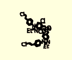 CCc1nc2cc(CS(=O)(=O)Cc3cc4nc(CC)n(-c5ccc(CCCl)cc5)c4cc3Cl)c(Cl)cc2n1-c1ccc(CCCl)cc1